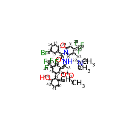 CCOC(=O)C[C@H](NC(=O)C(c1cccc(Br)c1)n1cc(CCN(C)C)c(C(F)(F)F)cc1=O)c1cc(-c2c(C)cccc2O)cc(C(F)(F)F)c1F